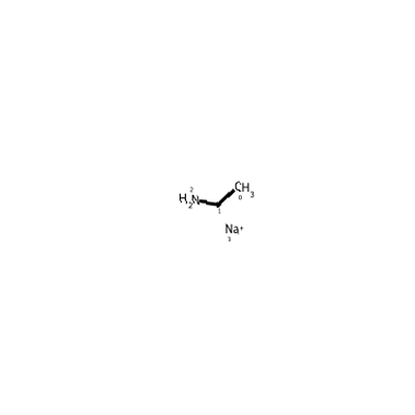 CCN.[Na+]